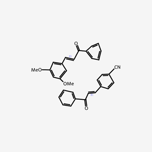 COc1cc(/C=C/C(=O)c2ccccc2)cc(OC)c1.N#Cc1ccc(/C=C/C(=O)c2ccccc2)cc1